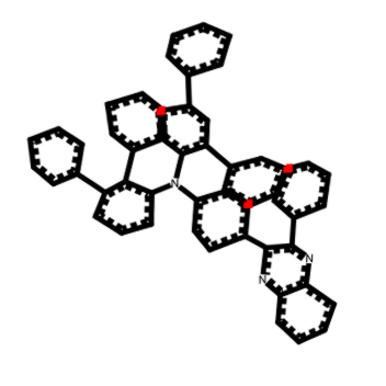 c1ccc(-c2ccc(N(c3ccc(-c4nc5ccccc5nc4-c4ccccc4)cc3)c3cccc(-c4ccccc4)c3-c3ccccc3)c(-c3ccccc3)c2)cc1